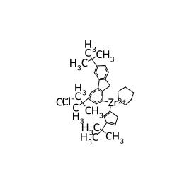 CC(C)(C)C1=CC[C]([Zr+2](=[C]2CCCCC2)[c]2cc(C(C)(C)C)cc3c2Cc2ccc(C(C)(C)C)cc2-3)=C1.[Cl-].[Cl-]